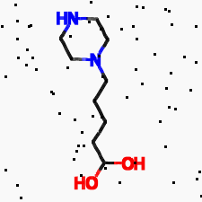 OC(O)CCCCN1CCNCC1